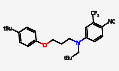 [C-]#[N+]c1ccc(N(CCCOc2ccc(C(C)(C)C)cc2)CC(C)(C)C)cc1C(F)(F)F